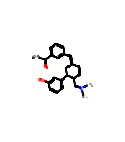 COC(=O)c1cccc(/C=C2/CCC(CN(C)C)C(c3cccc(O)c3)C2)c1